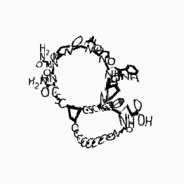 CC(C)C[C@@H]1NC(=O)[C@@H]2CCCN2C(=O)[C@H](Cc2c[nH]c3ccccc23)NC(=O)[C@@H]2CCCN2C(=O)[C@@H]2CSCc3cc(cc(c3)OCCCCCCO/N=C/C(=O)N[C@@H](CCC(=O)O)C(=O)N2)CSC[C@@H](C(N)=O)NC(=O)[C@H](CCC(N)=O)NC(=O)[C@@H]2CCCN2C1=O